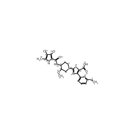 COc1cccc(-c2nc(N3CCC(NC(=O)c4[nH]c(C)c(Cl)c4Cl)C(OC)C3)sc2C(=O)O)n1